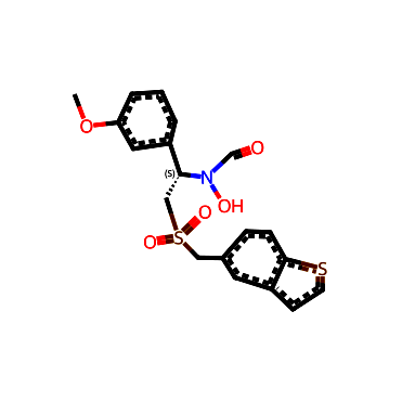 COc1cccc([C@@H](CS(=O)(=O)Cc2ccc3sccc3c2)N(O)C=O)c1